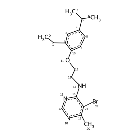 CCc1cc(C(C)C)ccc1OCCNc1ncnc(C)c1Br